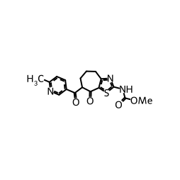 COC(=O)Nc1nc2c(s1)C(=O)C(C(=O)c1ccc(C)nc1)CCC2